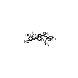 C=C1/C(=C\C=C2/CCC[C@]3(C)C([C@@H](C)SCC(O)(CC)CC)=CC[C@@H]23)C[C@@H](O)C[C@@H]1O